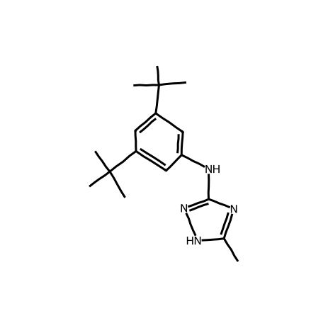 Cc1nc(Nc2cc(C(C)(C)C)cc(C(C)(C)C)c2)n[nH]1